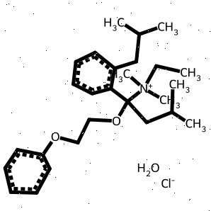 CC[N+](C)(C)C(CC(C)C)(OCCOc1ccccc1)c1ccccc1CC(C)C.O.[Cl-]